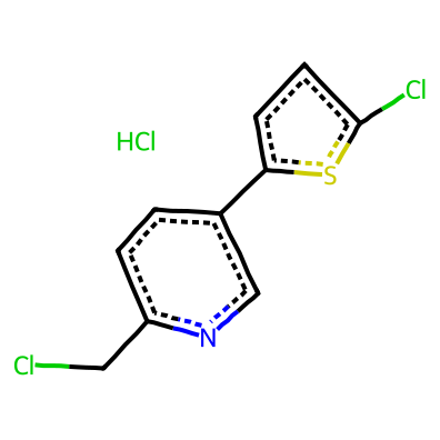 Cl.ClCc1ccc(-c2ccc(Cl)s2)cn1